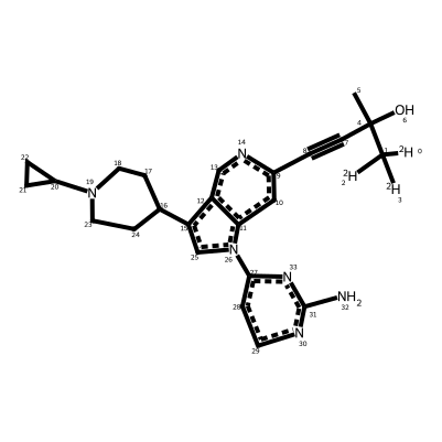 [2H]C([2H])([2H])C(C)(O)C#Cc1cc2c(cn1)c(C1CCN(C3CC3)CC1)cn2-c1ccnc(N)n1